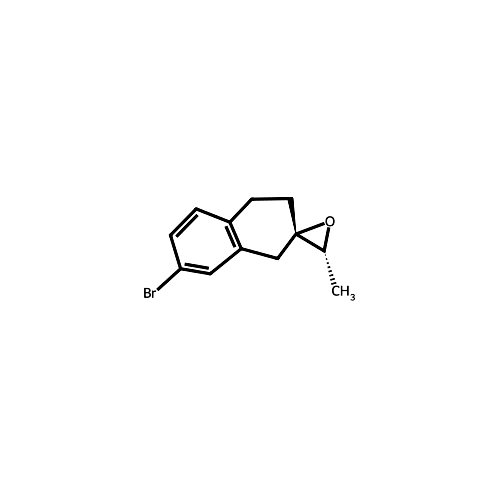 C[C@H]1O[C@]12CCc1ccc(Br)cc1C2